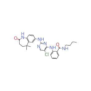 CCCCNC(=O)c1ccccc1Nc1nc(Nc2ccc3c(c2)C(C)(C)CCC(=O)N3)ncc1Cl